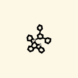 c1ccc(-c2cc(-c3ccccc3)cc(-n3c4ccccc4c4c5ccccc5c5c6ccccc6sc5c43)c2)cc1